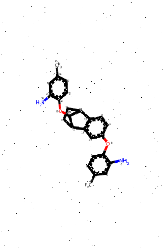 Nc1cc(C(F)(F)F)ccc1Oc1ccc2c(c1)C1CCC2C1Oc1ccc(C(F)(F)F)cc1N